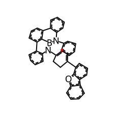 C1=C(c2cccc3c2oc2ccccc23)CCC(N2B3c4c(cccc4-c4ccccc4N3c3ccccc3)-c3ccccc32)=C1